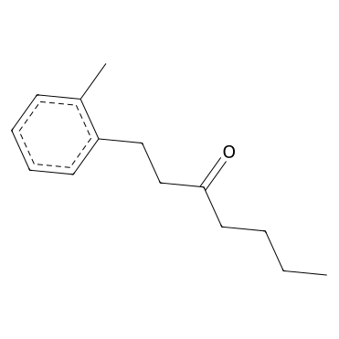 CCCCC(=O)CCc1ccccc1C